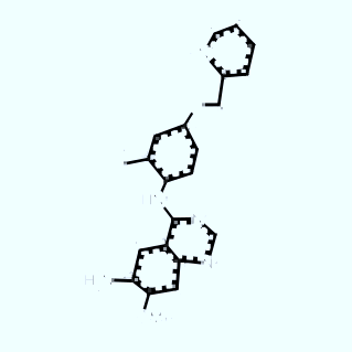 COc1cc2ncnc(Nc3ccc(OCc4ccccn4)cc3Cl)c2cc1N